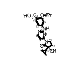 CC(C)Oc1cc(Nc2nccc(N3CC[C@@](C#N)(C4CC4)C3=O)n2)ccc1C(=O)O